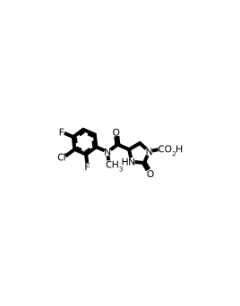 CN(C(=O)C1CN(C(=O)O)C(=O)N1)c1ccc(F)c(Cl)c1F